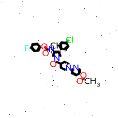 CC(=O)Oc1ccc(N2CCC(C(=O)N3C[C@@H](N(C)C(=O)Oc4ccc(F)cc4)[C@H](c4ccc(Cl)cc4)C3)CC2)nc1